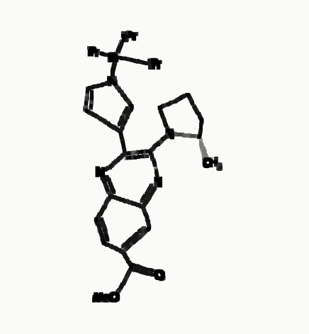 COC(=O)c1ccc2nc(-c3ccn([Si](C(C)C)(C(C)C)C(C)C)c3)c(N3CCC[C@@H]3C)nc2c1